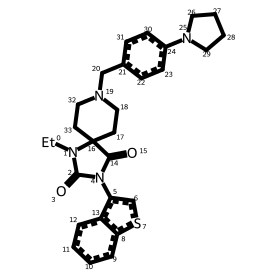 CCN1C(=O)N(c2csc3ccccc23)C(=O)C12CCN(Cc1ccc(N3CCCC3)cc1)CC2